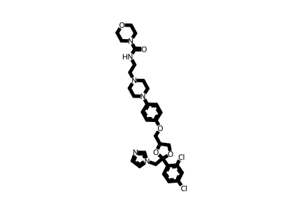 O=C(NCCN1CCN(c2ccc(OCC3COC(Cn4ccnc4)(c4ccc(Cl)cc4Cl)O3)cc2)CC1)N1CCOCC1